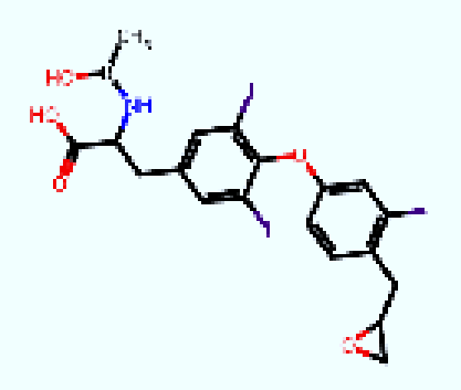 CB(O)NC(Cc1cc(I)c(Oc2ccc(CC3CO3)c(I)c2)c(I)c1)C(=O)O